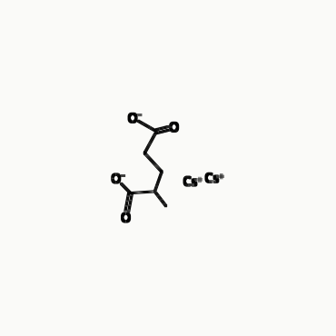 CC(CCC(=O)[O-])C(=O)[O-].[Cs+].[Cs+]